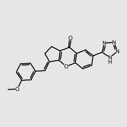 COc1cccc(C=C2CCc3c2oc2ccc(-c4nnn[nH]4)cc2c3=O)c1